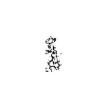 C[C@@H]1CN(c2cnc(C#N)c3ncccc23)C[C@H](C(=O)NCC2CN(C)CCO2)O1